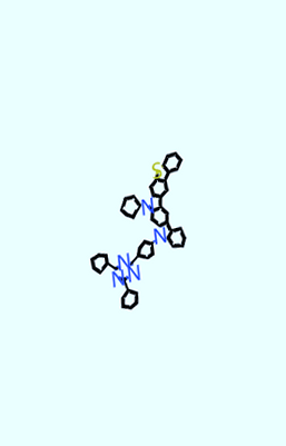 c1ccc(-c2nc(-c3ccccc3)nc(-c3ccc(-n4c5ccccc5c5cc6c7cc8c(cc7n(-c7ccccc7)c6cc54)sc4ccccc48)cc3)n2)cc1